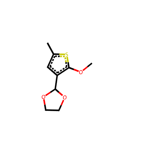 COc1sc(C)cc1C1OCCO1